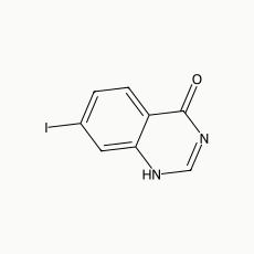 O=c1nc[nH]c2cc(I)ccc12